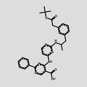 CC(Cc1cccc(CC(=O)OC(C)(C)C)c1)Nc1nccc(Nc2nc(-c3ccccc3)ncc2C(=O)O)n1